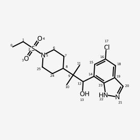 CCS(=O)(=O)N1CCC(C(C)(C)C(O)c2cc(Cl)cc3cn[nH]c23)CC1